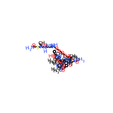 CCC(=O)N(CCNC(=O)CCCC1=CN(CCOCCOCCOCCOCCC(=O)N[C@@H](C(=O)NC(CCCNC(N)=O)C(=O)Nc2ccc(COC(=O)N(C)[C@@H](C(=O)NC(C(=O)N(C)[C@H](C(C)C)[C@H](CC(=O)N3CCC[C@@H]3[C@@H](OC)[C@H](C)C(=O)N[C@@H](C)[C@H](O)c3ccccc3)OC)C(C)C)C(C)C)cc2)C(C)C)NN1)CCSCCC(N)=O